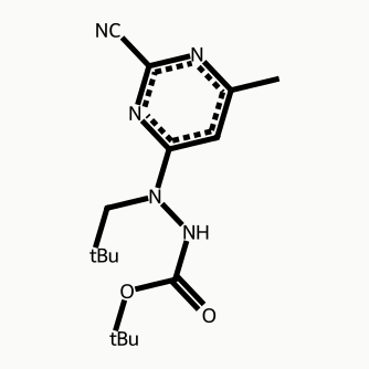 Cc1cc(N(CC(C)(C)C)NC(=O)OC(C)(C)C)nc(C#N)n1